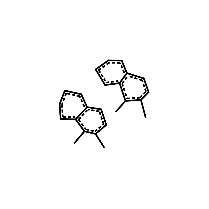 Cc1ccc2ccccc2c1C.Cc1ccc2ccccc2c1C